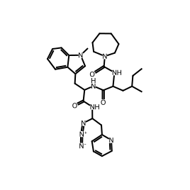 CCC(C)CC(NC(=O)N1CCCCCC1)C(=O)NC(Cc1cn(C)c2ccccc12)C(=O)NC(Cc1ccccn1)N=[N+]=[N-]